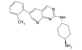 Cc1ccccc1-c1cnc2nc(N[C@H]3CC[C@H](N)CC3)ncc2c1